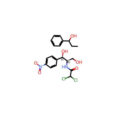 CCC(O)c1ccccc1.O=C(N[C@H](CO)[C@H](O)c1ccc([N+](=O)[O-])cc1)C(Cl)Cl